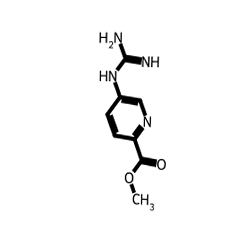 COC(=O)c1ccc(NC(=N)N)cn1